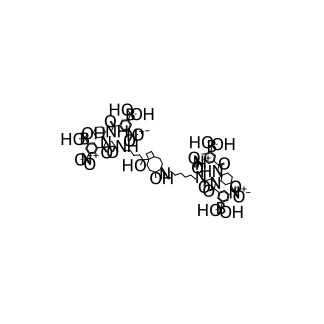 CN(CCCCCCNC(=O)CN(C(=O)c1cc(B(O)O)cc([N+](=O)[O-])c1)C1CCCCC1NC(=O)c1cc(B(O)O)cc([N+](=O)[O-])c1)C1CCC2CCC2(C(O)CCCCNC(=O)CN(C(=O)c2cc(B(O)O)cc([N+](=O)[O-])c2)C2CCCCC2NC(=O)c2cc(B(O)O)cc([N+](=O)[O-])c2)CCC1O